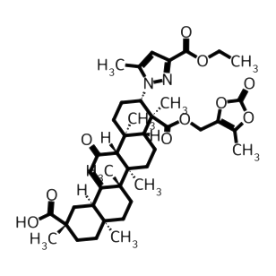 CCOC(=O)c1cc(C)n([C@H]2CC[C@@]3(C)[C@@H](CC[C@]4(C)[C@@H]3C(=O)C=C3[C@@H]5C[C@@](C)(C(=O)O)CC[C@]5(C)CC[C@]34C)[C@]2(C)C(=O)OCc2oc(=O)oc2C)n1